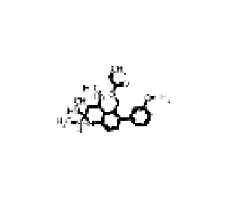 C=CC(=O)OCc1c(-c2cccc(OC)c2)ccc2c1C(NC)=CC(NC)(NC)N2